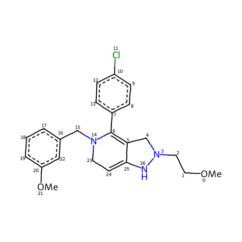 COCCN1CC2=C(c3ccc(Cl)cc3)N(Cc3cccc(OC)c3)CC=C2N1